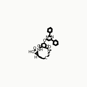 CN1CCCC/C=C\[C@@H]2C[C@@]2(C(=O)O)NC(=O)[C@@H]2C[C@@H](Oc3cc(-c4ccccc4)nc(-c4ccccc4)n3)C[C@H]2C1=O